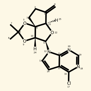 C=C1CC[C@]23OC(C)(C)O[C@H]2[C@H](n2ccc4c(Cl)ncnc42)O[C@H]13